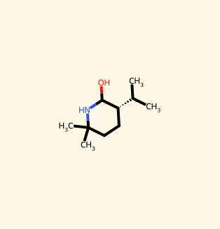 CC(C)[C@@H]1CCC(C)(C)NC1O